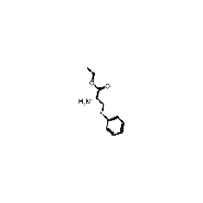 CCOC(=O)[C@@H](N)CSc1ccccc1